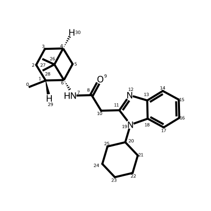 C[C@@H]1CC[C@H]2C[C@]1(NC(=O)Cc1nc3ccccc3n1C1CCCCC1)C2(C)C